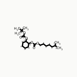 CC(C)CCCCCOC(=O)OC1CCCCC1OC(=O)OC(C)(C)C